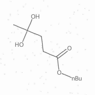 CCCCOC(=O)CCC(C)(O)O